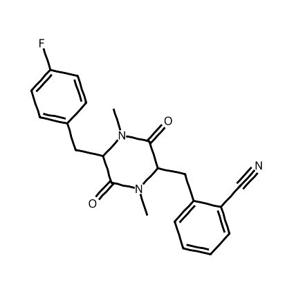 CN1C(=O)C(Cc2ccccc2C#N)N(C)C(=O)C1Cc1ccc(F)cc1